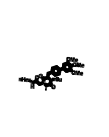 CCCCCCNC(=O)CN1C(=O)C(Cc2ccc(-c3cc(OC)c(OC)c(OC)c3)cc2)N(CCCC)C(=O)[C@@H]1C